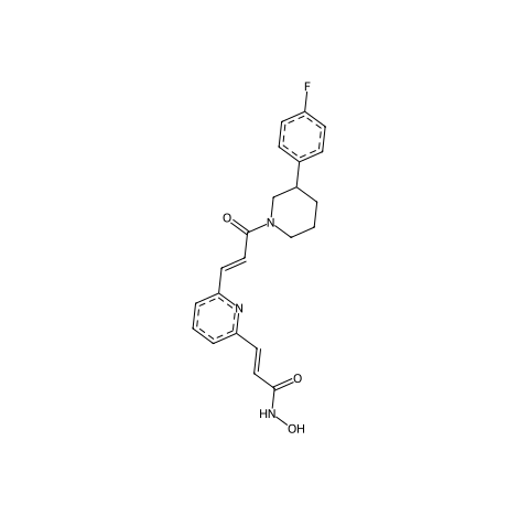 O=C(C=Cc1cccc(C=CC(=O)N2CCCC(c3ccc(F)cc3)C2)n1)NO